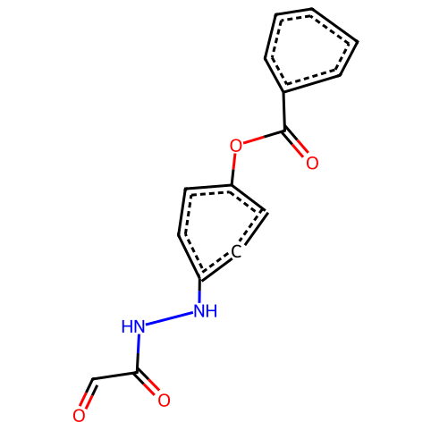 O=CC(=O)NNc1ccc(OC(=O)c2ccccc2)cc1